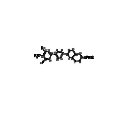 CCCCCC1CCC2CC(c3ccc(-c4cc(F)c(C(F)(F)F)c(F)c4)cc3)CCC2C1